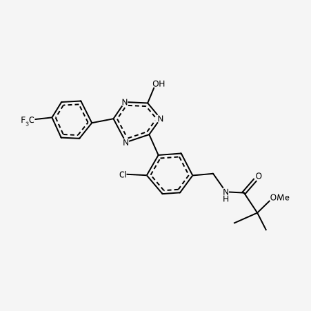 COC(C)(C)C(=O)NCc1ccc(Cl)c(-c2nc(O)nc(-c3ccc(C(F)(F)F)cc3)n2)c1